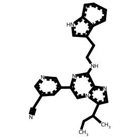 CCC(C)c1cnc2c(NCCc3c[nH]c4ccccc34)nc(-c3cncc(C#N)c3)cn12